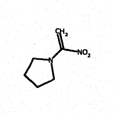 C=C(N1CCCC1)[N+](=O)[O-]